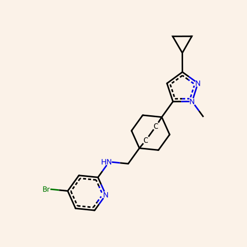 Cn1nc(C2CC2)cc1C12CCC(CNc3cc(Br)ccn3)(CC1)CC2